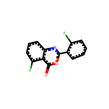 O=c1oc(-c2ccccc2F)nc2cccc(F)c12